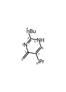 C=C1N=C(CCCC)NC=C1C(C)C